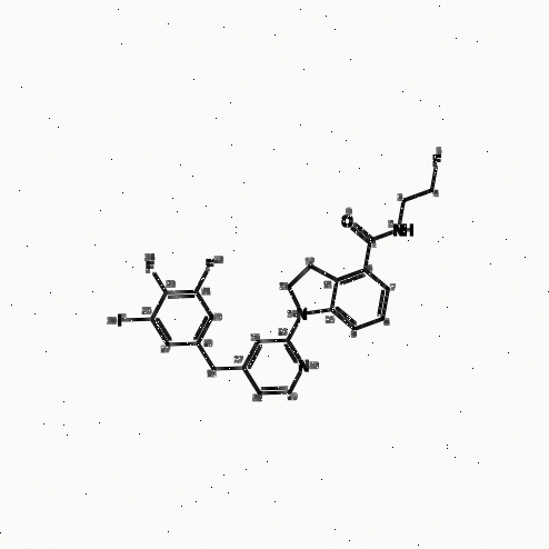 O=C(NCCF)c1cccc2c1CCN2c1cc(Cc2cc(F)c(F)c(F)c2)ccn1